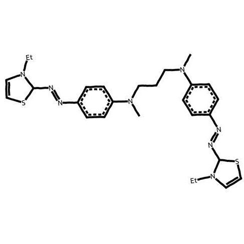 CCN1C=CSC1N=Nc1ccc(N(C)CCCN(C)c2ccc(N=NC3SC=CN3CC)cc2)cc1